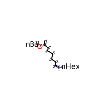 CCCCCC/C=C\CCCCCC(C)OCCCC